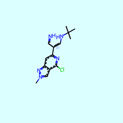 Cn1cc2c(Cl)nc(/C(C=N)=C/NC(C)(C)C)cc2n1